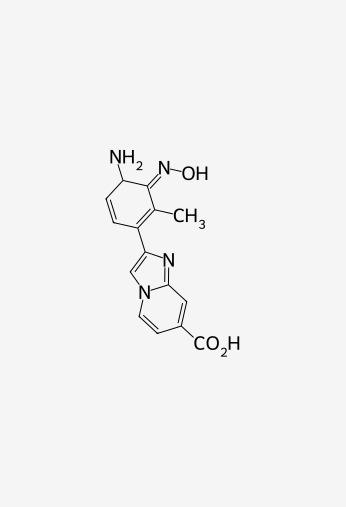 CC1=C(c2cn3ccc(C(=O)O)cc3n2)C=CC(N)C1=NO